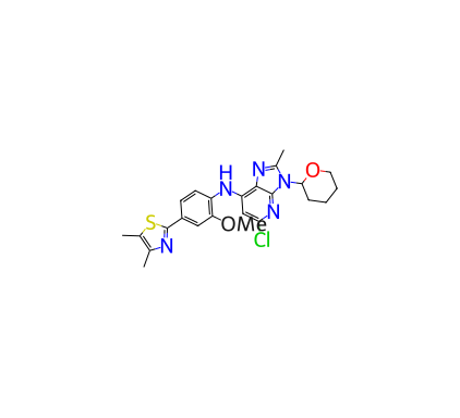 COc1cc(-c2nc(C)c(C)s2)ccc1Nc1cc(Cl)nc2c1nc(C)n2C1CCCCO1